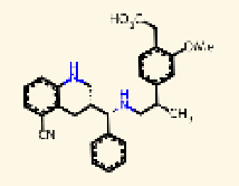 COc1cc([C@@H](C)CN[C@H](c2ccccc2)[C@H]2CNc3cccc(C#N)c3C2)ccc1CC(=O)O